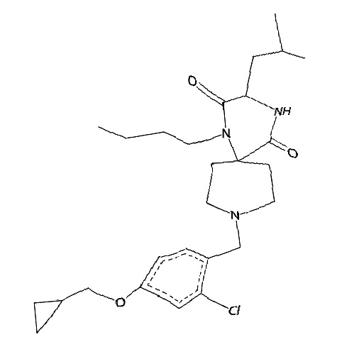 CCCCN1C(=O)C(CC(C)C)NC(=O)C12CCN(Cc1ccc(OCC3CC3)cc1Cl)CC2